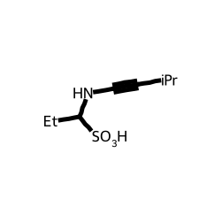 CCC(NC#CC(C)C)S(=O)(=O)O